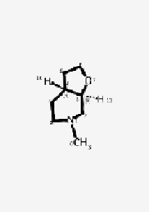 CN1CC[C@@H]2CCO[C@H]2C1